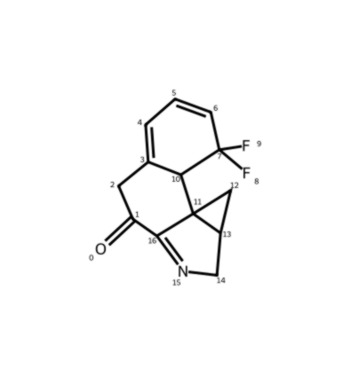 O=C1CC2=CC=CC(F)(F)C2C23CC2CN=C13